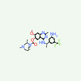 COc1cc2nc(C)nc(N[C@H](C)c3cc(N)cc(C(F)(F)F)c3)c2cc1OC(=O)N1CCCN(C)C[C@H]1C